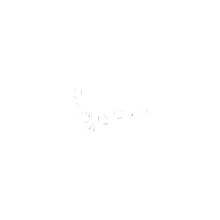 Cc1ccccc1[C@@H](C)OC(=O)Nc1c(-c2ccc(-c3ccc(CC(=O)O)cc3)cc2)noc1C